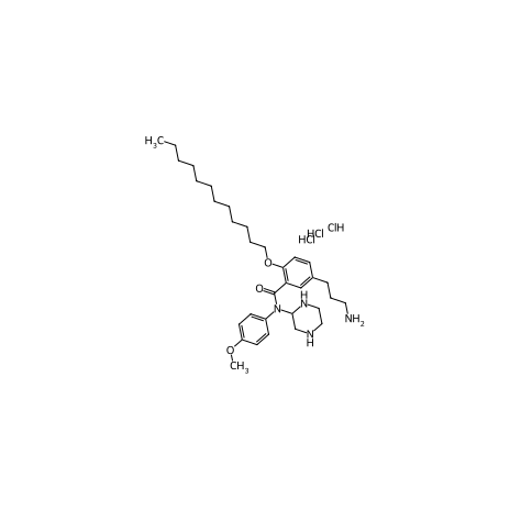 CCCCCCCCCCCCOc1ccc(CCCN)cc1C(=O)N(c1ccc(OC)cc1)C1CNCCN1.Cl.Cl.Cl